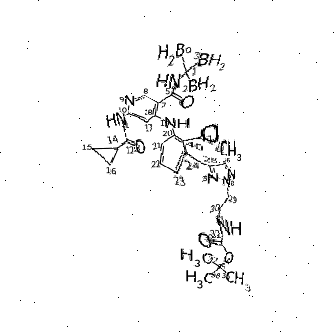 BC(B)(B)NC(=O)c1cnc(NC(=O)C2CC2)cc1Nc1cccc(-c2cnn(CCNC(=O)OC(C)(C)C)n2)c1OC